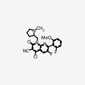 COc1cccc(F)c1-c1nc2c(cc1F)c(Cl)c(C#N)c(=O)n2CC1CCCN1C